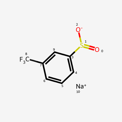 O=S([O-])c1cccc(C(F)(F)F)c1.[Na+]